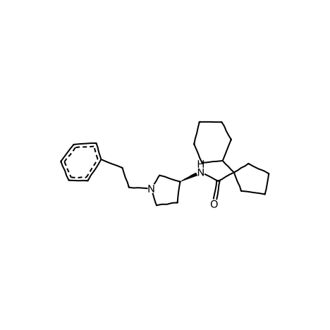 O=C(N[C@H]1CCN(CCc2ccccc2)C1)C1(C2CCCCC2)CCCC1